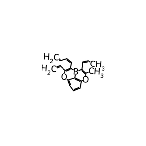 C=C/C=C\C1=C(C=C)Oc2cccc3c2B1C(/C=C\C)=C(C)O3